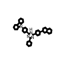 c1ccc(C2=NC(c3ccc(-c4ccc5ccccc5c4)cc3)NC(c3ccc(-n4c5ccccc5c5ccccc54)cc3)=N2)cc1